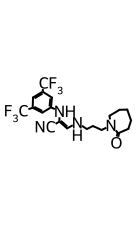 N#CC(=CNCCCN1CCCCCC1=O)Nc1cc(C(F)(F)F)cc(C(F)(F)F)c1